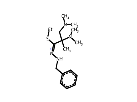 CCS/C(=N/NCc1ccccc1)C(C)(CN(C)C)N(C)C